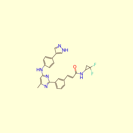 Cc1cc(Nc2ccc(-c3cn[nH]c3)cc2)nc(-c2cccc(/C=C/C(=O)NC3CC3(F)F)c2)n1